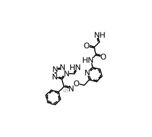 N=CC(=O)C(=O)Nc1cccc(CO/N=C(/c2ccccc2)c2nnnn2C=N)n1